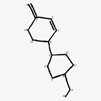 C=C1C=CC(C2CCC(CC)CC2)CC1